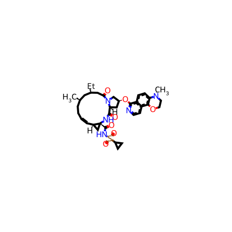 CC[C@H]1CC(=O)N2C[C@H](Oc3nccc4c5c(ccc34)N(C)CCO5)C[C@H]2C(=O)N[C@]2(C(=O)NS(=O)(=O)C3CC3)C[C@H]2/C=C\CC[C@@H](C)C1